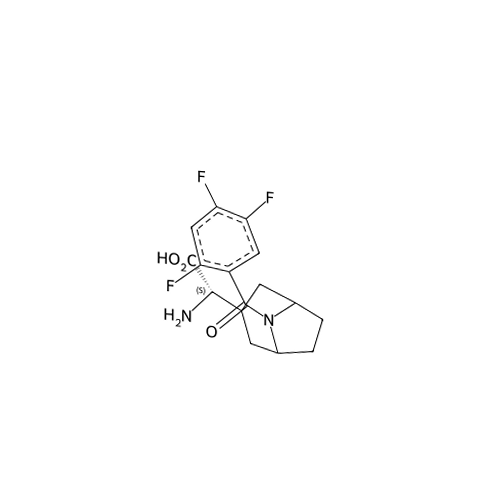 N[C@H](C(=O)O)C1CC2CCC(C1)N2C(=O)c1cc(F)c(F)cc1F